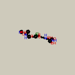 O=C(NC(c1ccccc1)c1cccc(OCc2ccc(C(=O)OCCCCNCC(O)c3ccc(O)c4[nH]c(=O)ccc34)c(Cl)c2)c1)OC1CN2CCC1CC2